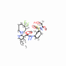 Cc1c(C(F)(F)F)cnc(N2CCCC(F)(F)CC2)c1C(=O)Nc1cccc([S@@](C)(=O)=NC(=O)[C@@H](C)O)c1